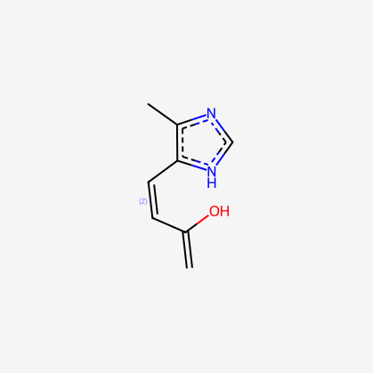 C=C(O)/C=C\c1[nH]cnc1C